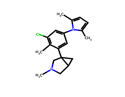 Cc1c(Cl)cc(-n2c(C)ccc2C)cc1C12CC1CN(C)C2